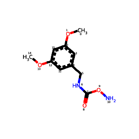 COc1cc(CNC(=O)ON)cc(OC)c1